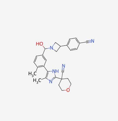 Cc1ccc(C(O)N2CC(c3ccc(C#N)cc3)C2)cc1-c1[nH]c(C2(C#N)CCOCC2)nc1C